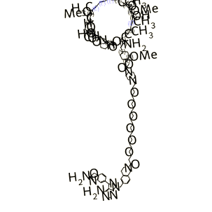 CO[C@H]1C[C@@H]2CC[C@@H](C)[C@@](O)(O2)C(=O)C(=O)N2CCCC[C@H]2C(=O)O[C@H]([C@H](N)C[C@@H]2CC[C@@H](OC(=O)N3CCN(CCOCCOCCOCCOCCOCCOCCC(=O)N4CCc5cc(Cn6nc(-c7ccc8oc(N)nc8c7)c7c(N)ncnc76)ccc5C4)CC3)[C@H](OC)C2)CC[C@H](C)/C=C(\C)[C@@H](O)[C@@H](OC)C(=O)[C@H](C)C[C@H](C)/C=C/C=C/C=C/1C